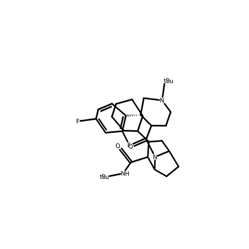 CC(C)(C)NC(=O)C1C(C2CCCCC2)CC2CCC1N2C(=O)C1CCN(C(C)(C)C)C[C@H]1c1ccc(F)cc1F